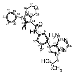 C[C@H](O)Cn1cc(-c2ccc(NC(=O)c3c4n(n(-c5ccccc5)c3=O)CCOC4)cc2F)c2c(N)ncnc21